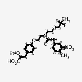 CCOC(Cc1ccc(OCCN(CCOCC(C)(F)F)C(=O)Nc2ccc(C)c([N+](=O)[O-])c2)cc1)C(=O)O